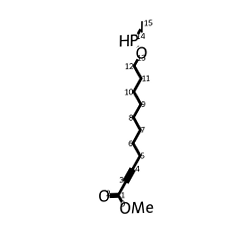 COC(=O)C#CCCCCCCCCOPI